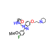 COc1cc(-c2nc3cc(OCCCN4CCCCC4)ccc3n2CC(=O)NC(C)C)ccc1F